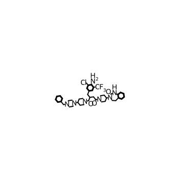 Nc1c(Cl)cc(CC(CC(=O)N2CCC(N3CCc4ccccc4NC3=O)CC2)C(=O)N2CCC(N3CCN(Cc4ccccc4)CC3)CC2)cc1C(F)(F)F